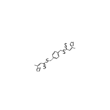 CC(Cl)=CC(=S)SCc1ccc(CSC(=S)C=C(C)Cl)cc1